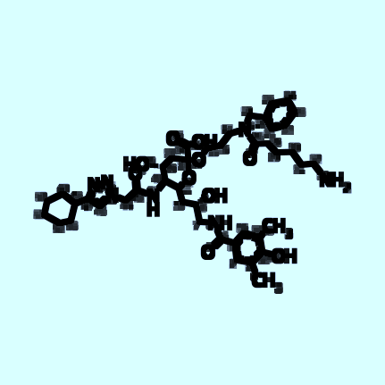 Cc1cc(C(=O)NC[C@@H](O)CC2O[C@@](OCCCN(Cc3ccccc3)C(=O)CCCCCN)(C(=O)O)C[C@@H](O)C2NC(=O)Cn2cc(C3CCCCC3)nn2)cc(C)c1O